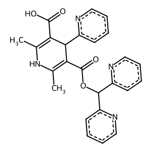 CC1=C(C(=O)O)C(c2ccccn2)C(C(=O)OC(c2ccccn2)c2ccccn2)=C(C)N1